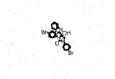 O=C1N(c2ccc(Br)cc2)CC(O)(c2nc3ccccc3s2)N1c1ccc(Br)cc1